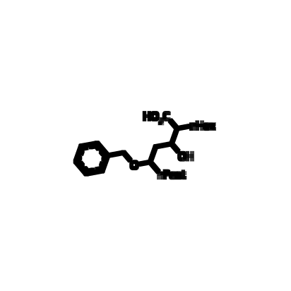 CCCCCCC(C(=O)O)C(O)CC(CCCCC)OCc1ccccc1